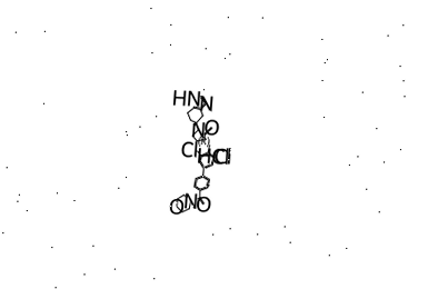 Cl.O=C(c1ccc(-c2cc(Cl)c(C[C@@H]3CCN(C4CCc5[nH]cnc5C4)C3=O)c(Cl)c2)cc1)N1CCOCC1